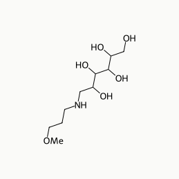 COCCCNCC(O)C(O)C(O)C(O)CO